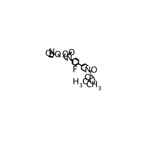 CC1(C)OC[C@H](C(=O)N2CC=C(c3ccc(N4C[C@H](COc5ccon5)OC4=O)cc3F)CC2)O1